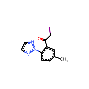 Cc1ccc(-n2nccn2)c(C(=O)CI)c1